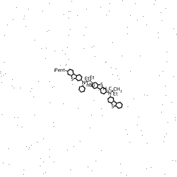 CCCCC(CC)(C(CC)c1ccc2c(c1)sc1cc(N(c3ccc4sc5ccccc5c4c3)C(C)(C)CC)ccc12)N(c1ccccc1)c1ccc2c(c1)sc1cc(C(C)CCC)ccc12